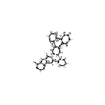 Cc1cccc2c1sc1c(C)cc(-c3ccccc3-c3ccc4c(c3)c3ccccc3c3nccnc43)cc12